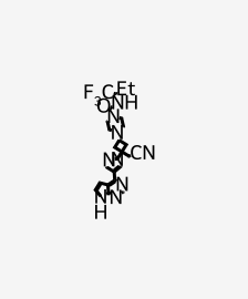 CC[C@H](NC(=O)N1CCN(C2CC(CC#N)(n3cc(-c4ncnc5[nH]ccc45)cn3)C2)CC1)C(F)(F)F